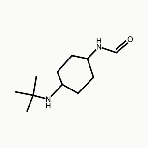 CC(C)(C)NC1CCC(NC=O)CC1